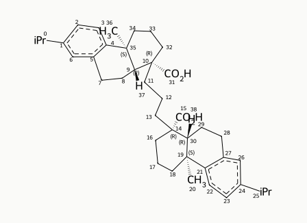 CC(C)c1ccc2c(c1)CC[C@H]1[C@@](CCC[C@]3(C(=O)O)CCC[C@]4(C)c5ccc(C(C)C)cc5CC[C@@H]34)(C(=O)O)CCC[C@]21C